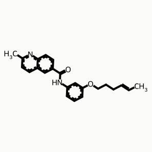 CC=CCCCOc1cccc(NC(=O)c2ccc3nc(C)ccc3c2)c1